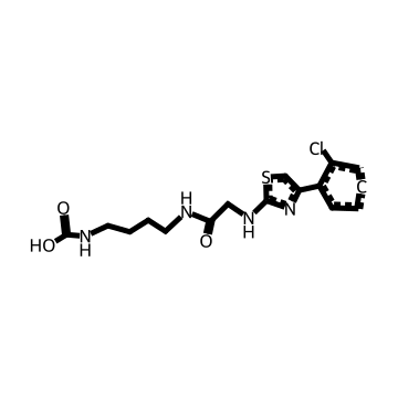 O=C(O)NCCCCNC(=O)CNc1nc(-c2ccccc2Cl)cs1